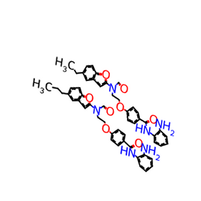 CCCc1ccc2oc(N(C=O)CCOc3ccc(C(=O)Nc4ccccc4N)cc3)cc2c1.CCc1ccc2oc(N(C=O)CCOc3ccc(C(=O)Nc4ccccc4N)cc3)cc2c1